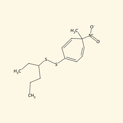 CCCC(CC)SSC1=CC=CC(C)([N+](=O)[O-])C=C1